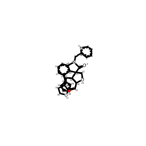 O=C1N(Cc2ccccn2)c2cccc(-c3ccoc3)c2C12COC1C=C3OCCC3=CC12